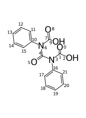 O=C(O)N(C(=O)N(C(=O)O)c1ccccc1)c1ccccc1